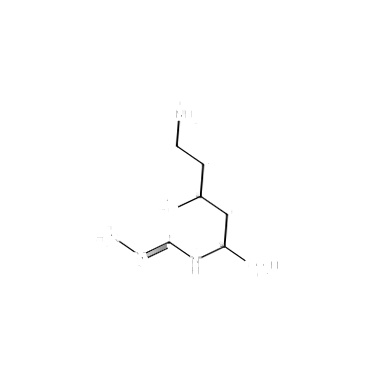 NCCC(O)CC(NC=NN)C(=O)O